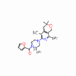 CC(C)c1nc(N2CCN(C(=O)c3ccco3)[C@H](C(C)C)C2)c(C#N)c2c1COC(C)(C)C2